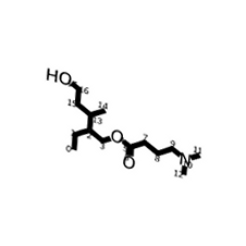 CCC(COC(=O)CCCN(C)C)C(C)CCO